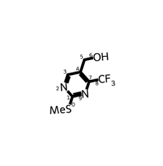 CSc1ncc(CO)c(C(F)(F)F)n1